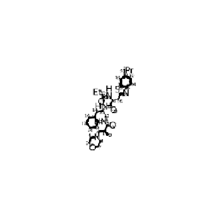 C=C(CN1CCOCC1)C(=O)NC[C@H](CC1CCCCC1)NC(=O)[C@H](Cc1nc2ccc(C(C)C)cc2s1)NC(=O)CC